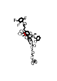 CCN(Cc1ccccc1Cl)C(=O)C1=C(c2ccc(CCCOc3c(F)ccc(F)c3F)cc2)CC2CN(C(=O)OCCOCCO[N+](=O)[O-])CC1N2C(=O)OC(C)(C)C(Cl)(Cl)Cl